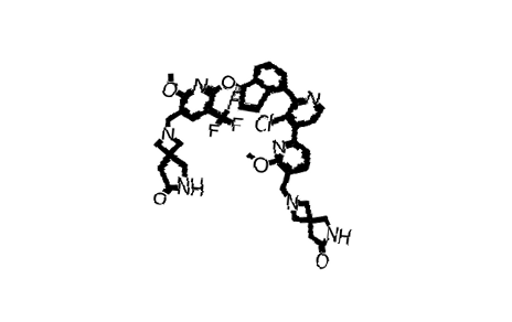 COc1nc(-c2ccnc(-c3cccc4c3CC[C@H]4Oc3nc(OC)c(CN4CC5(CNC(=O)C5)C4)cc3C(F)(F)F)c2Cl)ccc1CN1CC2(CNC(=O)C2)C1